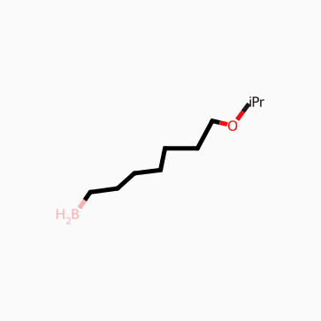 BCCCCCCCOC(C)C